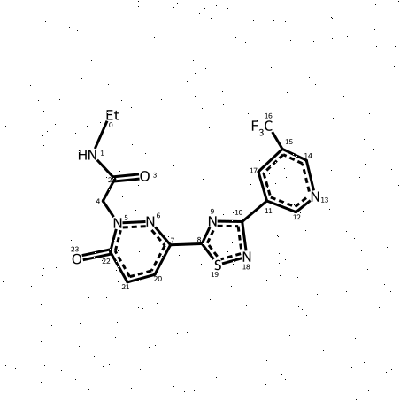 CCNC(=O)Cn1nc(-c2nc(-c3cncc(C(F)(F)F)c3)ns2)ccc1=O